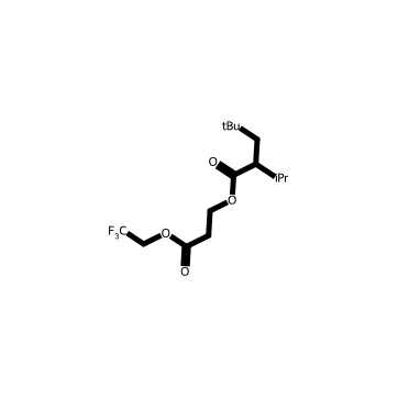 CC(C)C(CC(C)(C)C)C(=O)OCCC(=O)OCC(F)(F)F